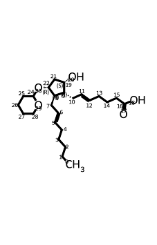 CCCCCC=CC[C@@H]1[C@@H](CC=CCCCC(=O)O)[C@@H](O)C[C@H]1OC1CCCCO1